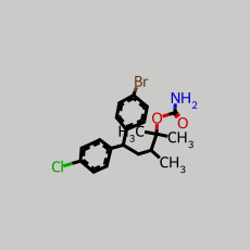 CC(CC(c1ccc(Cl)cc1)c1ccc(Br)cc1)C(C)(C)OC(N)=O